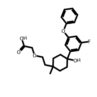 CC1(CCOCC(=O)O)CCC(O)(c2cc(F)cc(Oc3ccccc3)c2)CC1